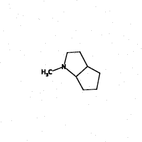 CN1CCC2CCCC21